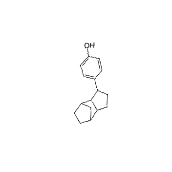 Oc1ccc(C2CCC3C4CCC(C4)C23)cc1